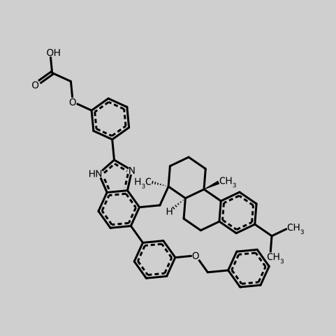 CC(C)c1ccc2c(c1)CC[C@H]1[C@@](C)(Cc3c(-c4cccc(OCc5ccccc5)c4)ccc4[nH]c(-c5cccc(OCC(=O)O)c5)nc34)CCC[C@]21C